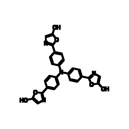 Oc1cnc(-c2ccc(N(c3ccc(-c4ncc(O)o4)cc3)c3ccc(-c4ncc(O)o4)cc3)cc2)o1